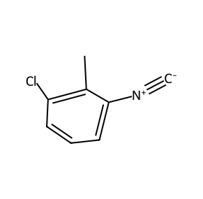 [C-]#[N+]c1cccc(Cl)c1C